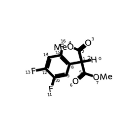 [2H]C(C(=O)OC)(C(=O)OC)c1cc(F)c(F)cc1F